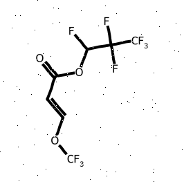 O=C(C=COC(F)(F)F)OC(F)C(F)(F)C(F)(F)F